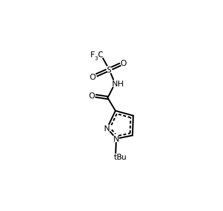 CC(C)(C)n1ccc(C(=O)NS(=O)(=O)C(F)(F)F)n1